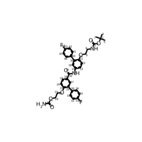 CC(C)(C)OC(=O)NCCOc1ccc(NC(=O)c2ccc(OCCOC(N)=O)c(-c3ccc(F)cc3)c2)cc1-c1ccc(F)cc1